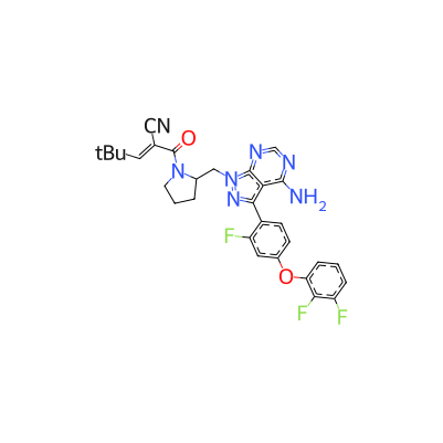 CC(C)(C)C=C(C#N)C(=O)N1CCCC1Cn1nc(-c2ccc(Oc3cccc(F)c3F)cc2F)c2c(N)ncnc21